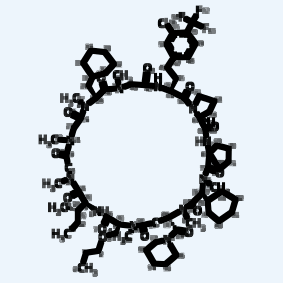 CCCOC[C@H]1C(=O)N[C@@H]([C@@H](C)CC)C(=O)N(C)CC(=O)N(C)CC(=O)N(C)[C@@H](CC2CCCCC2)C(=O)N(C)CC(=O)N[C@@H](CCc2ccc(C(F)(F)F)c(Cl)c2)C(=O)N2CCC[C@H]2C(=O)NC2(CCCC2)C(=O)N(C)[C@@H](C2CCCCC2)C(=O)N(C)[C@H](C(=O)N2CCCCC2)CC(=O)N1C